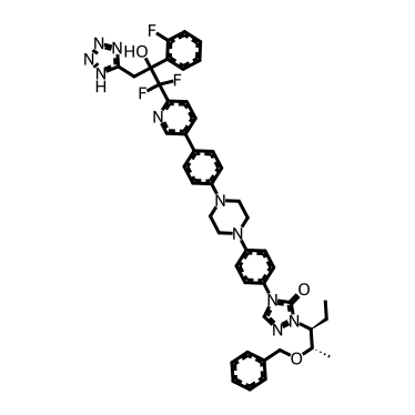 CC[C@@H]([C@H](C)OCc1ccccc1)n1ncn(-c2ccc(N3CCN(c4ccc(-c5ccc(C(F)(F)C(O)(Cc6nnn[nH]6)c6ccccc6F)nc5)cc4)CC3)cc2)c1=O